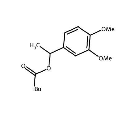 CCC(C)C(=O)OC(C)c1ccc(OC)c(OC)c1